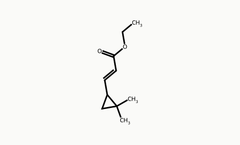 CCOC(=O)C=CC1CC1(C)C